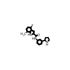 Cc1ccc(F)c2cc(C(=O)Nc3cccc(C4CCCN4)c3)[nH]c12